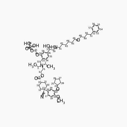 CC[N+](CC)(CCOC(=O)[C@H]1CC[C@@](C#N)(c2ccc(OC)c(OC3CCCC3)c2)CC1)Cc1ccc(C(O)CNCCCCCCOCCCCc2ccccc2)cc1OCOP(=O)(O)O